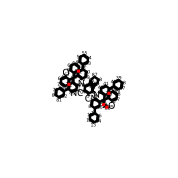 N#Cc1c(C#N)c(N2c3ccc(-c4ccccc4)cc3C3(c4ccccc4Oc4ccccc43)c3cc(-c4ccccc4)ccc32)c2c(c1N1c3ccc(-c4ccccc4)cc3C3(c4ccccc4Oc4ccccc43)c3cc(-c4ccccc4)ccc31)C1CCC2C1